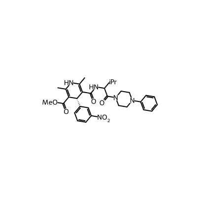 COC(=O)C1=C(C)NC(C)=C(C(=O)NC(C(=O)N2CCN(c3ccccc3)CC2)C(C)C)[C@@H]1c1cccc([N+](=O)[O-])c1